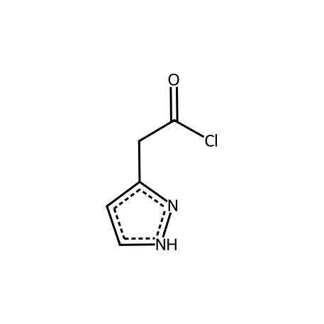 O=C(Cl)Cc1cc[nH]n1